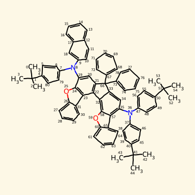 CC(C)(C)c1ccc(N(c2ccc3ccccc3c2)c2cc3c(c4c2oc2ccccc24)-c2c(cc(N(c4ccc(C(C)(C)C)cc4)c4ccc(C(C)(C)C)cc4)c4c2oc2ccccc24)C3(c2ccccc2)c2ccccc2)cc1